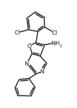 Nc1c(-c2c(Cl)[c]ccc2Cl)oc2nc(-c3ccccc3)ncc12